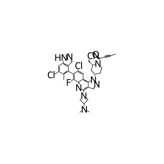 CC#CC(=O)N1CC[C@H](n2ncc3c(N4CC(N(C)C)C4)nc4c(F)c(-c5c(C)c(Cl)cc6[nH]ncc56)c(Cl)cc4c32)C[C@H]1CC#N